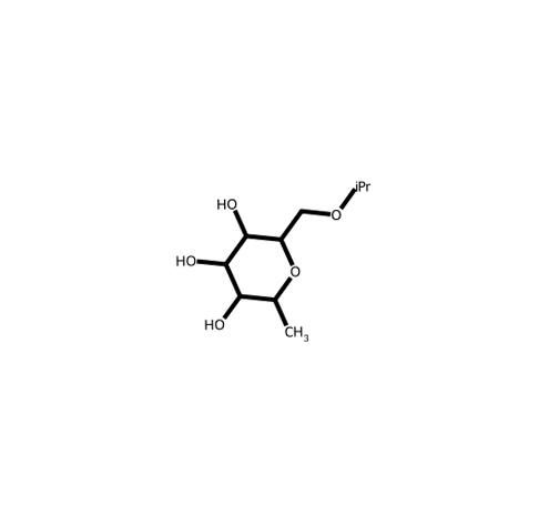 CC(C)OCC1OC(C)C(O)C(O)C1O